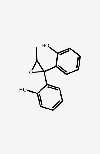 CC1OC1(c1ccccc1O)c1ccccc1O